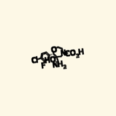 NC[C@@]1(O)CN(C(=O)O)CCO[C@H]1c1ccc(Cl)c(F)c1